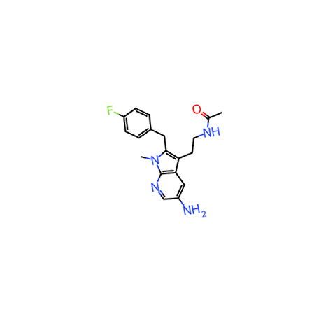 CC(=O)NCCc1c(Cc2ccc(F)cc2)n(C)c2ncc(N)cc12